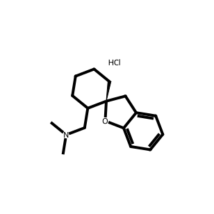 CN(C)CC1CCCC[C@]12Cc1ccccc1O2.Cl